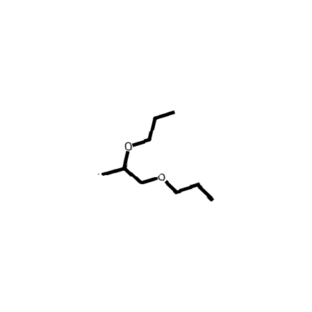 [CH2]C(COCCC)OCCC